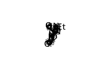 CCn1ncc2c(NC3CCOCC3)c(-c3nnc(CC4CCOCC4)o3)cnc21